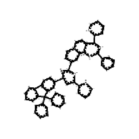 c1ccc(-c2nc(-c3ccccn3)c3ccc4ccc(-c5nc(-c6ccc7c(c6)C(c6ccccc6)(c6ccccc6)c6ccccc6-7)cc(-c6ccccn6)n5)cc4c3n2)cc1